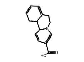 O=C(O)C1=CN2CCC3=CC=CCC3C2C=C1